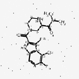 CN(C)C(=O)C1CN(C(=O)c2[nH]c3ccc(F)c(Cl)c3c2F)CCN1